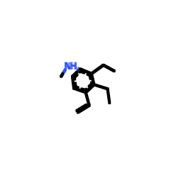 C=Cc1cccc(CC)c1CC.CN